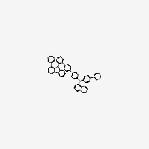 c1cc2ccccc2c(N(c2ccc(-c3ccccc3)cc2)c2ccc(-c3ccc(-c4ccccc4-n4c5ccccc5c5cccc(-c6ccccc6)c54)cc3)cc2)c#1